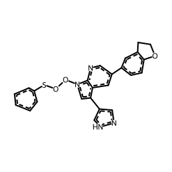 c1ccc(SOOn2cc(-c3cn[nH]c3)c3cc(-c4ccc5c(c4)CCO5)cnc32)cc1